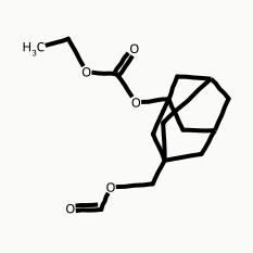 CCOC(=O)OC12CC3CC(CC(COC=O)(C3)C1)C2